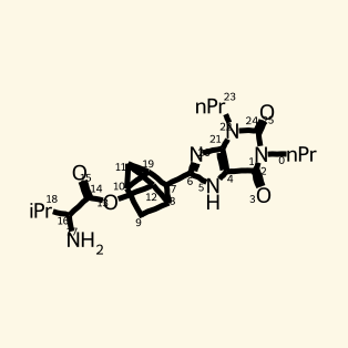 CCCn1c(=O)c2[nH]c(C3C4CC5C(C4OC(=O)C(N)C(C)C)C53)nc2n(CCC)c1=O